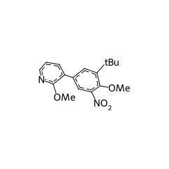 COc1ncccc1-c1cc([N+](=O)[O-])c(OC)c(C(C)(C)C)c1